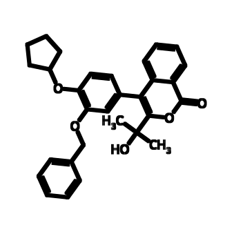 CC(C)(O)c1oc(=O)c2ccccc2c1-c1ccc(OC2CCCC2)c(OCc2ccccc2)c1